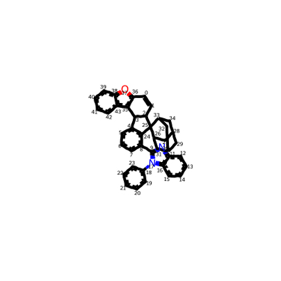 C1=CC2C(c3cccc(-c4nc5ccccc5n4-c4ccccc4)c3C23C2CC4CC(C2)CC3C4)c2c1oc1ccccc21